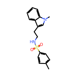 Cc1ccc(S(=O)(=O)NCCc2cn(C)c3ccccc23)cc1